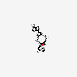 Nc1ncnn2c([C@H]3C[C@@H]4COPOC[C@H]5O[C@@H](n6ccc(=O)n7ccnc67)[C@H](OPOC[C@H]4O3)[C@@H]5O)cnc12